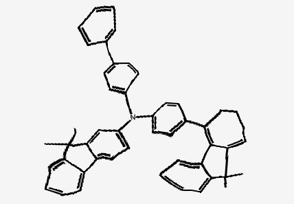 CC1(C)C2=CCCCC(c3ccc(N(c4ccc(-c5ccccc5)cc4)c4ccc5c(c4)C(C)(C)c4ccccc4-5)cc3)=C2c2ccccc21